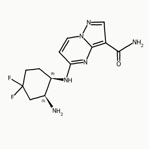 NC(=O)c1cnn2ccc(N[C@@H]3CCC(F)(F)C[C@@H]3N)nc12